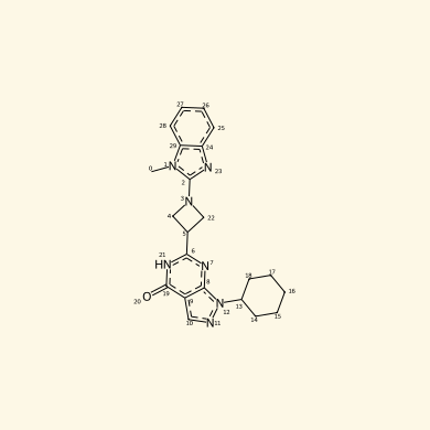 Cn1c(N2CC(c3nc4c(cnn4C4CCCCC4)c(=O)[nH]3)C2)nc2ccccc21